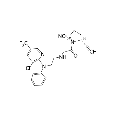 C#C[C@H]1CC[C@@H](C#N)N1C(=O)CNCCN(c1ccccc1)c1ncc(C(F)(F)F)cc1Cl